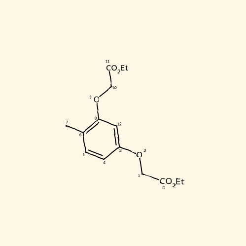 CCOC(=O)COc1ccc(C)c(OCC(=O)OCC)c1